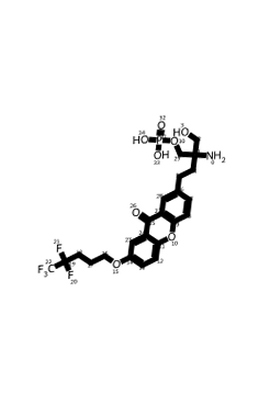 NC(CO)(CCc1ccc2oc3ccc(OCCCC(F)(F)C(F)(F)F)cc3c(=O)c2c1)COP(=O)(O)O